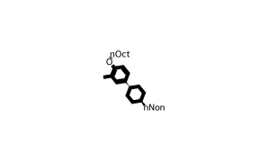 CCCCCCCCC[C@H]1CC[C@H](c2ccc(OCCCCCCCC)c(C)c2)CC1